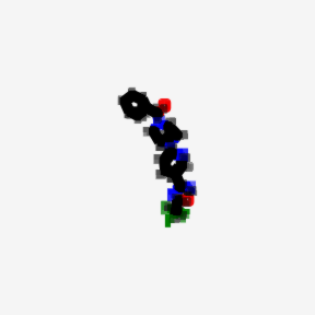 O=C(C1CC2CCC1C2)N1CC2CC1CN2c1ccc(-c2noc(C(F)(F)F)n2)cn1